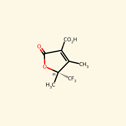 CC1=C(C(=O)O)C(=O)O[C@@]1(C)C(F)(F)F